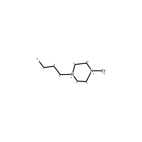 CCN1CCN(CCCI)CC1